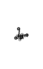 CN1CC(=O)N2[C@@H](Cc3ccccc3)C(=O)N(CCCCc3ccccc3)C[C@@H]2N1C(=O)NCc1ccccc1